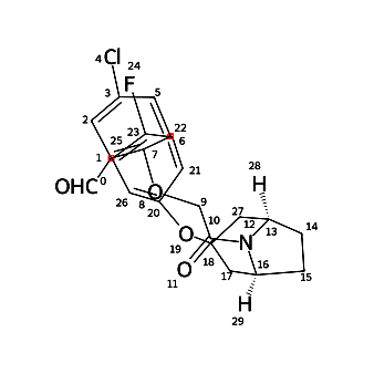 O=Cc1cc(Cl)ccc1OCC(=O)N1[C@@H]2CC[C@H]1CC(Oc1ccc(F)cc1)C2